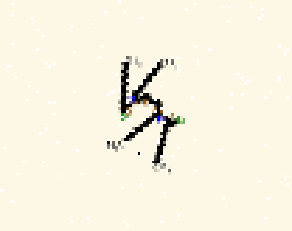 CCCCCCCCCCCCc1cc(Br)sc1-c1nc(CCCCCCCCCCCC)c(-c2ccc(-c3ccc(-c4sc(-c5sc(Br)cc5CCCCCCCCCCCC)nc4CCCCCCCCCCCC)s3)s2)s1